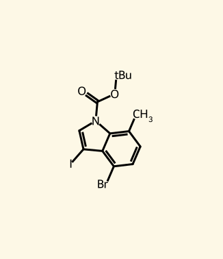 Cc1ccc(Br)c2c(I)cn(C(=O)OC(C)(C)C)c12